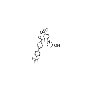 CC1(C(=O)N2CCN(c3ccc(C(F)(F)F)cc3)CC2)CC(S(C)(=O)=O)=CC=C1N1CCCC(O)C1